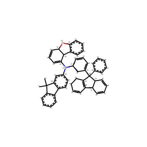 CC1(C)c2ccccc2-c2ccc(N(C3=CC=CC4Oc5ccccc5C34)C3C=CC=C(C4(c5ccccc5)C5=C(C=CCC5)C5C=CC=CC54)C3)cc21